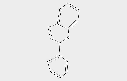 C1=CC(c2ccccc2)Sc2ccccc21